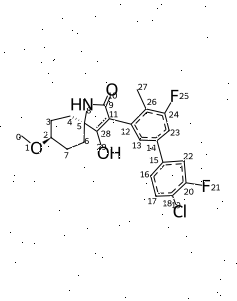 CO[C@H]1CC[C@]2(CC1)NC(=O)C(c1cc(-c3ccc(Cl)c(F)c3)cc(F)c1C)=C2O